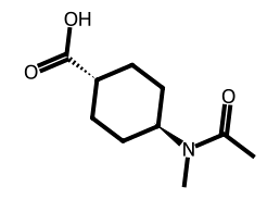 CC(=O)N(C)[C@H]1CC[C@H](C(=O)O)CC1